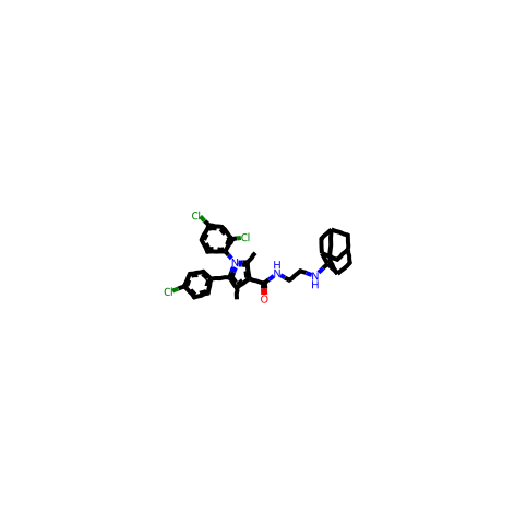 Cc1c(C(=O)NCCNC2C3CC4CC(C3)CC2C4)c(C)n(-c2ccc(Cl)cc2Cl)c1-c1ccc(Cl)cc1